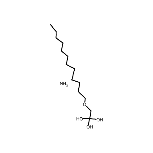 CCCCCCCCCCCCOCC(O)(O)O.N